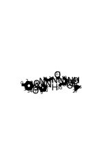 Cc1ccc(S(=O)(=O)n2ccc3nc(CNC(=O)N4CC(NS(=O)(=O)C5CC5)CC4C)cnc32)cc1